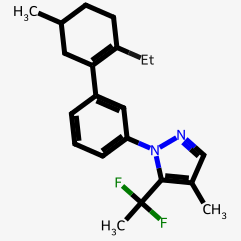 CCC1=C(c2cccc(-n3ncc(C)c3C(C)(F)F)c2)CC(C)CC1